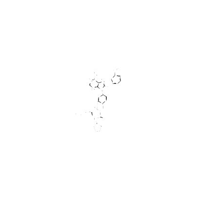 CC(C)(C)OC(=O)N[C@@H](Cc1ccc(-n2c(Sc3ccc4c(c3)OCO4)nc3c(N)ncnc32)cc1)C(=O)OC1CCCC1